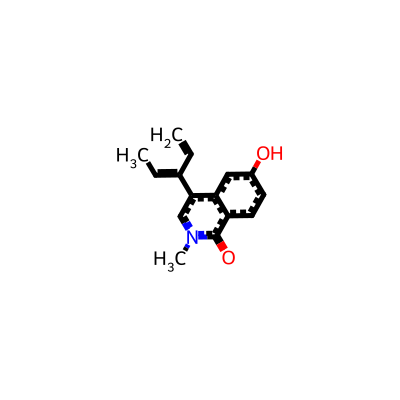 C=C/C(=C\C)c1cn(C)c(=O)c2ccc(O)cc12